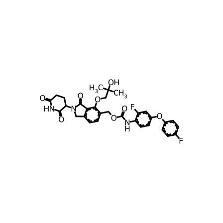 CC(C)(O)COc1c(COC(=O)Nc2ccc(Oc3ccc(F)cc3)cc2F)ccc2c1C(=O)N(C1CCC(=O)NC1=O)C2